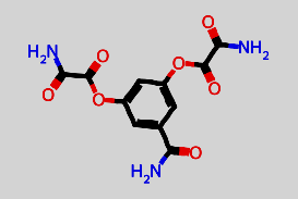 NC(=O)C(=O)Oc1cc(OC(=O)C(N)=O)cc(C(N)=O)c1